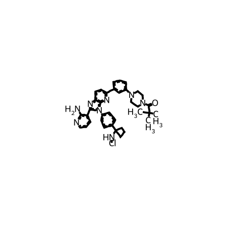 CC(C)(C)C(=O)N1CCN(c2cccc(-c3ccc4nc(-c5cccnc5N)n(-c5ccc(C6(NCl)CCC6)cc5)c4n3)c2)CC1